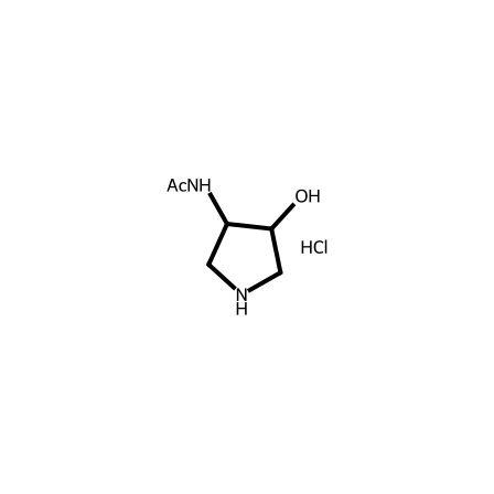 CC(=O)NC1CNCC1O.Cl